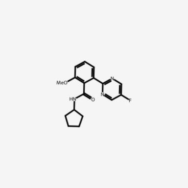 COc1cccc(-c2ncc(F)cn2)c1C(=O)NC1CCCC1